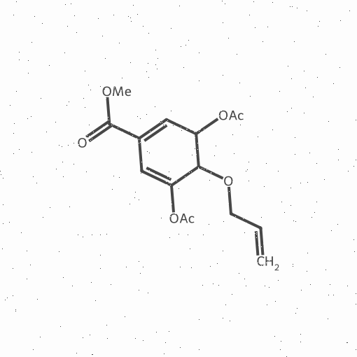 C=CCOC1C(OC(C)=O)=CC(C(=O)OC)=CC1OC(C)=O